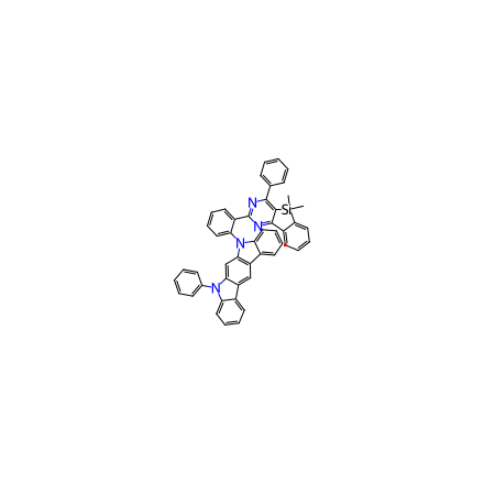 C[Si]1(C)c2ccccc2-c2nc(-c3ccccc3-n3c4ccccc4c4cc5c6ccccc6n(-c6ccccc6)c5cc43)nc(-c3ccccc3)c21